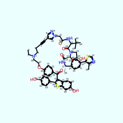 CCN(CCC#Cc1cnn(CC(=O)NC(C(=O)N2C[C@H](O)C[C@H]2C(=O)N[C@@H](C)c2ccc(-c3scnc3C)cc2)C(C)(C)C)c1)CCOc1ccc(C(=O)c2c(-c3ccc(O)cc3)sc3cc(O)ccc23)cc1